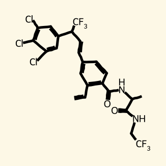 C=Cc1cc(/C=C/C(c2cc(Cl)c(Cl)c(Cl)c2)C(F)(F)F)ccc1C(=O)NC(C)C(=O)NCC(F)(F)F